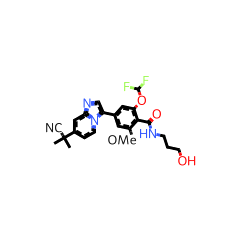 COc1cc(-c2cnc3cc(C(C)(C)C#N)ccn23)cc(OC(F)F)c1C(=O)NCCCO